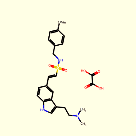 COc1ccc(CNS(=O)(=O)C=Cc2ccc3[nH]cc(CCN(C)C)c3c2)cc1.O=C(O)C(=O)O